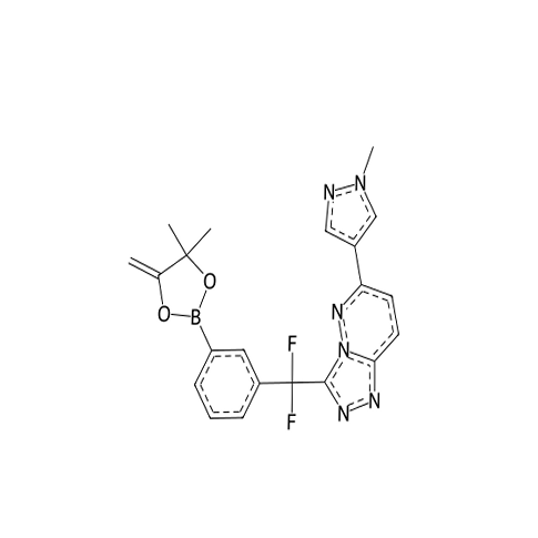 C=C1OB(c2cccc(C(F)(F)c3nnc4ccc(-c5cnn(C)c5)nn34)c2)OC1(C)C